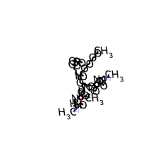 C/C=C1\CC2C=Nc3cc(OCc4cc(OCCN(CCCC(=O)ON5C(=O)CCC5=O)C(=O)CCOCCOCCOCCOC)cc(COc5cc6c(cc5OC)C(=O)N5C/C(=C/C)C[C@H]5C=N6)n4)c(OC)cc3C(=O)N2C1